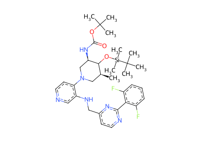 C[C@H]1CN(c2ccncc2NCc2ccnc(-c3c(F)cccc3F)n2)C[C@@H](NC(=O)OC(C)(C)C)C1O[Si](C)(C)C(C)(C)C